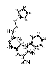 N#Cc1cc2ncc(NCCn3cccc3)nc2n2c1nc1ccccc12